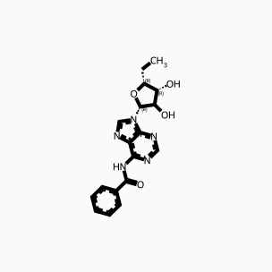 CC[C@H]1O[C@@H](n2cnc3c(NC(=O)c4ccccc4)ncnc32)C(O)[C@H]1O